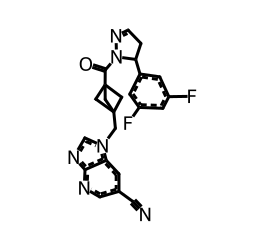 N#Cc1cnc2ncn(CC34CC(C(=O)N5N=CCC5c5cc(F)cc(F)c5)(C3)C4)c2c1